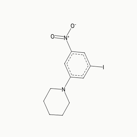 O=[N+]([O-])c1cc(I)cc(N2CCCCC2)c1